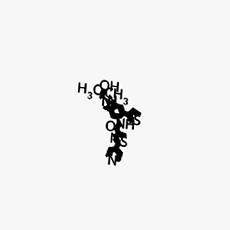 CC(C)(O)Cn1cc2cc(NC(=O)c3csc(-c4ccncc4)n3)c(-c3ccsc3)cc2n1